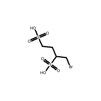 O=S(=O)(O)CCC(CBr)S(=O)(=O)O